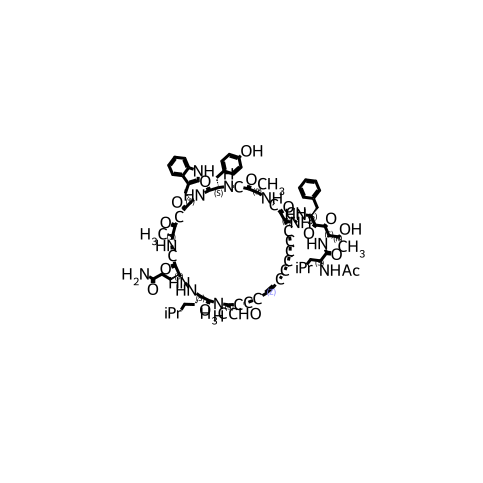 CC(=O)N[C@@H](CC(C)C)C(=O)N[C@H](C(=O)C(=O)[C@H](Cc1ccccc1)NN[C@]1(C)CCCCCC/C=C\CCC[C@@](C)(C=O)NC(=O)[C@H](CCC(C)C)NN[C@@H](CCC(N)=O)C(=O)CN[C@@H](C)C(=O)CC(=O)[C@H](Cc2c[nH]c3ccccc23)NC(=O)[C@H](Cc2ccc(O)cc2)NCC(=O)[C@H](C)NCC1=O)[C@@H](C)O